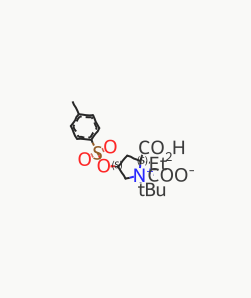 CC[C@@]1(C(=O)O)C[C@H](OS(=O)(=O)c2ccc(C)cc2)C[N+]1(C(=O)[O-])C(C)(C)C